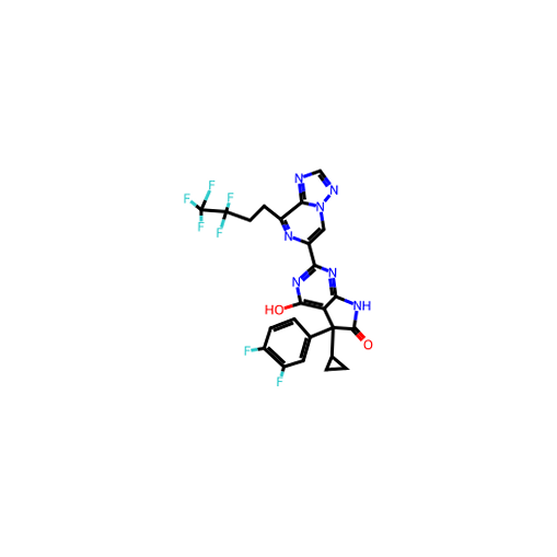 O=C1Nc2nc(-c3cn4ncnc4c(CCC(F)(F)C(F)(F)F)n3)nc(O)c2C1(c1ccc(F)c(F)c1)C1CC1